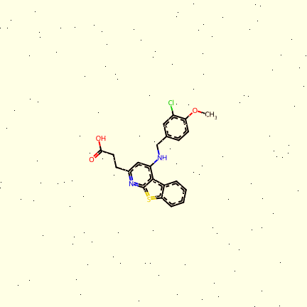 COc1ccc(CNc2cc(CCC(=O)O)nc3sc4ccccc4c23)cc1Cl